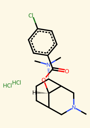 CN1CC2CC[C@H](N(C)C)C(C1)[C@@H]2OC(=O)c1ccc(Cl)cc1.Cl.Cl